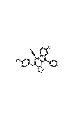 CC#CCn1c(C2CCCN2C(=O)Cc2ccc(Cl)cc2)c(-c2ccccc2)c2cc(Cl)ccc21